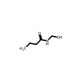 [CH2]CCC(=O)NCO